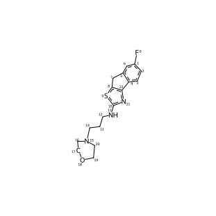 Fc1ccc2c(c1)Cc1sc(NCCCN3CCOCC3)nc1-2